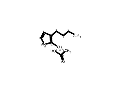 CC(=O)O.CCCCc1cc[nH]c1C